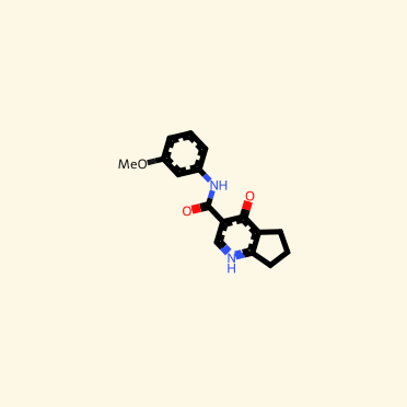 COc1cccc(NC(=O)c2c[nH]c3c(c2=O)CCC3)c1